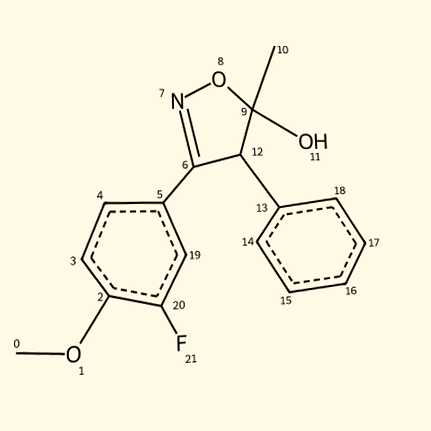 COc1ccc(C2=NOC(C)(O)C2c2ccccc2)cc1F